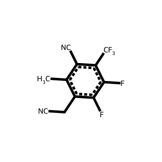 Cc1c(C#N)c(C(F)(F)F)c(F)c(F)c1CC#N